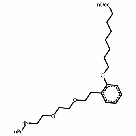 CCCCCCCCCCCCCCCCCOc1ccccc1CCOCCOCCNCCC